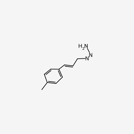 Cc1ccc(/C=C/C/N=N\N)cc1